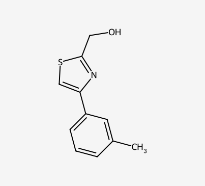 Cc1cccc(-c2csc(CO)n2)c1